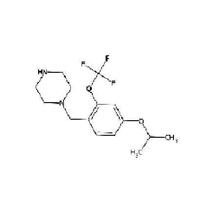 CC(C)Oc1ccc(CN2CCNCC2)c(OC(F)(F)F)c1